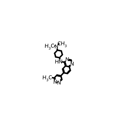 Cc1cc(-c2ccc3ncnc(NC4CCC(N(C)C)CC4)c3c2)cnn1